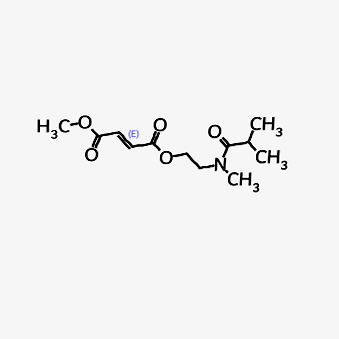 COC(=O)/C=C/C(=O)OCCN(C)C(=O)C(C)C